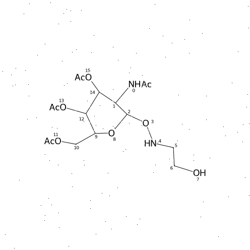 CC(=O)NC1C(ONCCO)OC(COC(C)=O)C(OC(C)=O)C1OC(C)=O